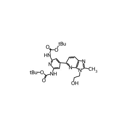 Cc1nc2ccc(-c3cc(NC(=O)OC(C)(C)C)nc(NC(=O)OC(C)(C)C)c3)nc2n1CCO